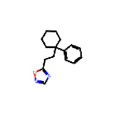 c1ccc(C2(CCc3ncno3)CCCCC2)cc1